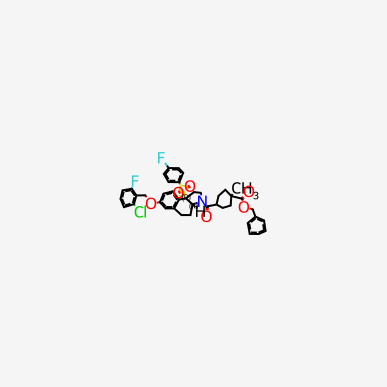 CC1(C(=O)OCc2ccccc2)CCC(C(=O)N2CC[C@@]3(S(=O)(=O)c4ccc(F)cc4)c4ccc(OCc5c(F)cccc5Cl)cc4CC[C@@H]23)CC1